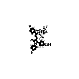 CC(C)(C)[Si](C)(C)OC(CCC1C(=O)N(c2ccc(F)cc2)C1c1ccc(O)cc1OCOCC[Si](C)(C)C)c1ccc(F)cc1